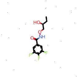 CCC(O)CONC(=O)c1cc(F)c(F)c(F)c1